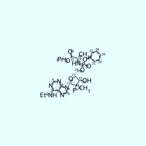 CCNc1ncnc2c1ncn2[C@@H]1O[C@H](CO[P@](=O)(N[C@@H](C)C(=O)OC(C)C)Oc2ccccc2)[C@@H](O)[C@@]1(C)F